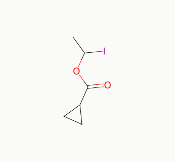 CC(I)OC(=O)C1CC1